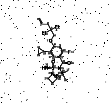 C=CCC(CC)(CC)COc1cc(F)c(C(=O)N(S(C)(C)C(C)(C)C)S(=N)(=O)N2CCC2)cc1C1CC1